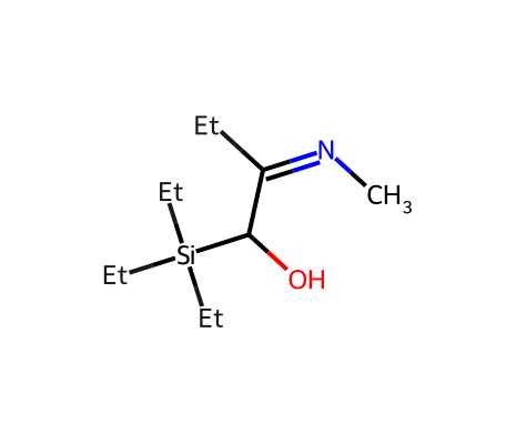 CCC(=NC)C(O)[Si](CC)(CC)CC